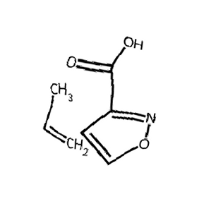 C=CC.O=C(O)c1ccon1